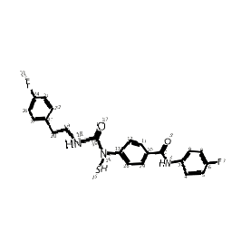 O=C(Nc1ccc(F)cc1)c1ccc(N(S)C(=O)NCCc2ccc(F)cc2)cc1